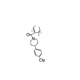 C/C=C(C)\C(=C/C)C(=O)N1CCC(c2ccc(C#N)cc2)CC1